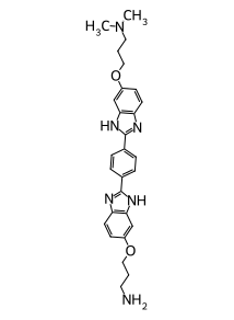 CN(C)CCCOc1ccc2nc(-c3ccc(-c4nc5ccc(OCCCN)cc5[nH]4)cc3)[nH]c2c1